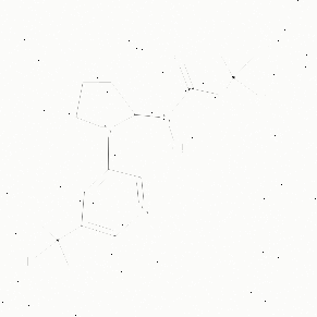 CN(C(=O)OC(C)(C)C)C1CCCN1c1cncc(C(F)(F)F)c1